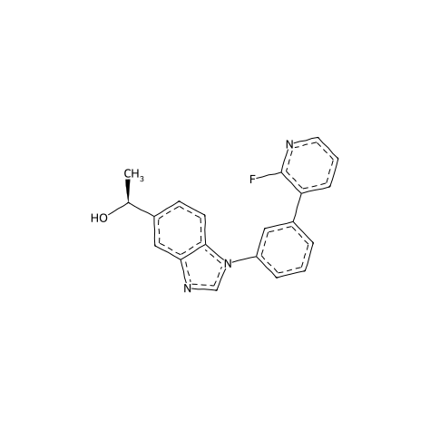 C[C@H](O)c1ccc2c(c1)ncn2-c1cccc(-c2cccnc2F)c1